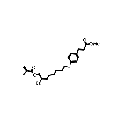 C=C(C)C(=O)OCC(CC)CCCCCCOc1ccc(C=CC(=O)OC)cc1